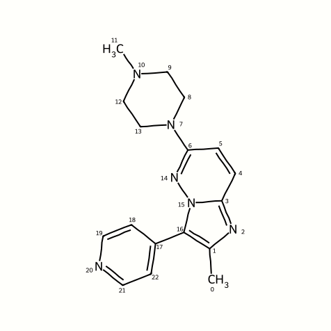 Cc1nc2ccc(N3CCN(C)CC3)nn2c1-c1ccncc1